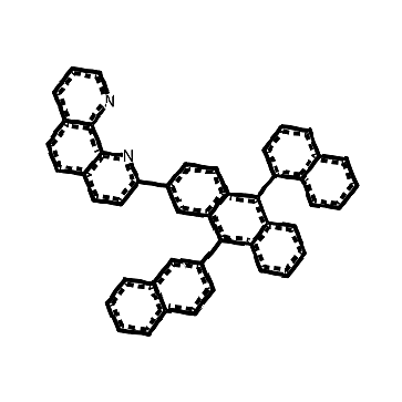 c1ccc2cc(-c3c4ccccc4c(-c4cccc5ccccc45)c4ccc(-c5ccc6ccc7cccnc7c6n5)cc34)ccc2c1